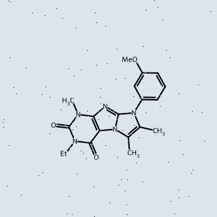 CCn1c(=O)c2c(nc3n(-c4cccc(OC)c4)c(C)c(C)n23)n(C)c1=O